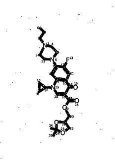 CCCN1CCN(c2cc3c(cc2F)c(=O)c(C(=O)OCC2COC(C)(C)O2)cn3C2CC2)CC1